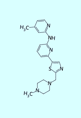 Cc1ccnc(Nc2cccc(-c3cnc(CN4CCN(C)CC4)s3)n2)c1